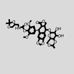 COc1cc([C@@H]2c3cc4c(cc3C(OC3OC5COC(C)OC5C(O)C3O)C3COC(=O)C32)OCO4)cc(OC)c1OC(=O)NCC1COC(C)(C)O1